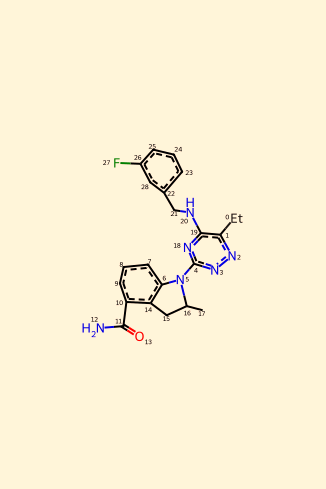 CCc1nnc(N2c3cccc(C(N)=O)c3CC2C)nc1NCc1cccc(F)c1